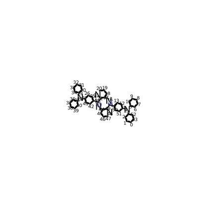 c1ccc(N(c2ccccc2)c2ccc(/C3=N/c4cccnc4/C(c4ccc(N(c5ccccc5)c5ccccc5)cc4)=N\c4cccnc43)cc2)cc1